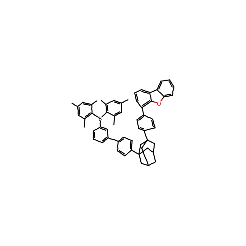 Cc1cc(C)c(B(c2cccc(-c3ccc(C45CC6CC(C4)CC(c4ccc(-c7cccc8c7oc7ccccc78)cc4)(C6)C5)cc3)c2)c2c(C)cc(C)cc2C)c(C)c1